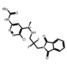 C[C@@H](NCC(F)(F)CN1C(=O)c2ccccc2C1=O)c1cc(NC(=O)C(C)(C)C)nnc1Cl